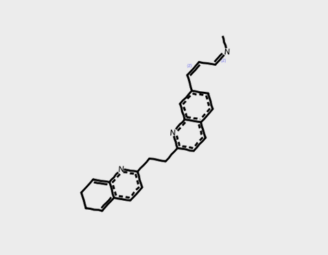 C/N=C\C=C/c1ccc2ccc(CCc3ccc4c(n3)=CCCC=4)nc2c1